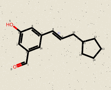 O=Cc1cc(O)cc(/C=C/CC2CCCC2)c1